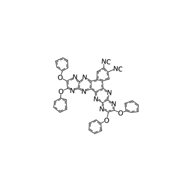 [C-]#[N+]c1cc2c(cc1[N+]#[C-])c1nc3nc(Oc4ccccc4)c(Oc4ccccc4)nc3nc1c1nc3nc(Oc4ccccc4)c(Oc4ccccc4)nc3nc21